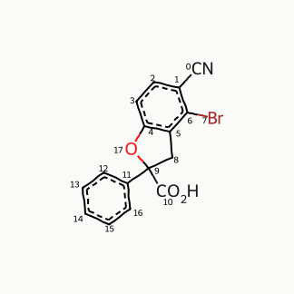 N#Cc1ccc2c(c1Br)CC(C(=O)O)(c1ccccc1)O2